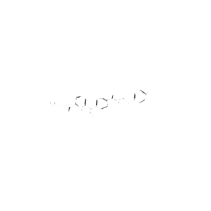 COC(=O)c1cccc(C(C)c2ccc(C(=O)NCCc3ccc(C)cc3)cc2)n1